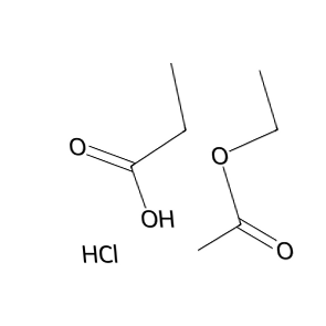 CCC(=O)O.CCOC(C)=O.Cl